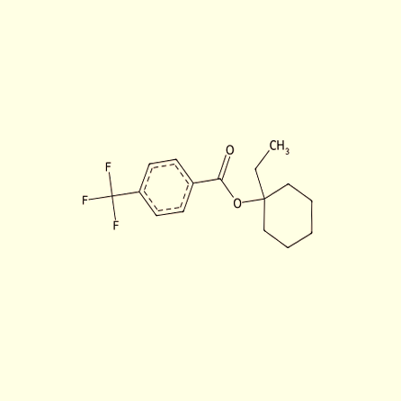 CCC1(OC(=O)c2ccc(C(F)(F)F)cc2)CCCCC1